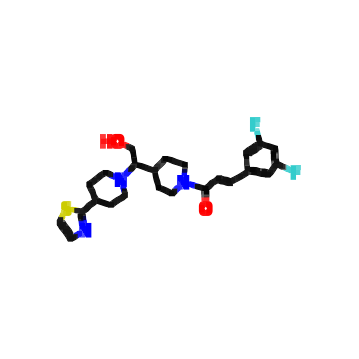 O=C(C=Cc1cc(F)cc(F)c1)N1CCC(C(CO)N2CCC(c3nccs3)CC2)CC1